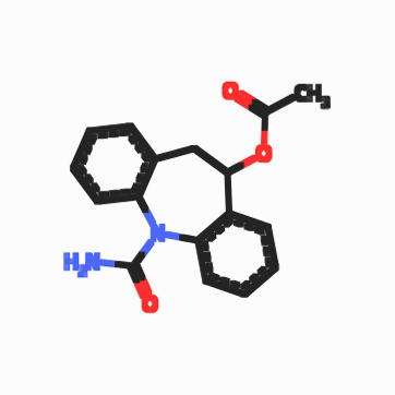 CC(=O)OC1Cc2ccccc2N(C(N)=O)c2ccccc21